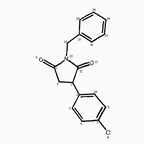 O=C1CC(c2ccc(Cl)cc2)C(=O)N1Cc1ccccc1